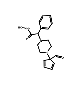 O=CC1(N2CCN(C(C(=O)NO)c3ccccc3)CC2)C=CC=C1